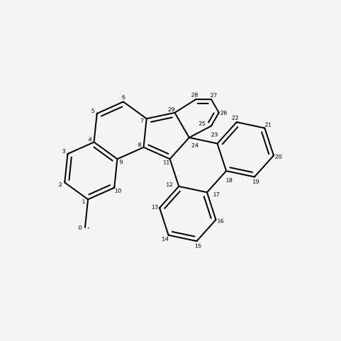 [CH2]c1ccc2ccc3c(c2c1)=C1c2ccccc2-c2ccccc2C12C=CC=CC=32